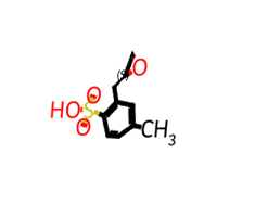 Cc1ccc(S(=O)(=O)O)c(C[C@H]2CO2)c1